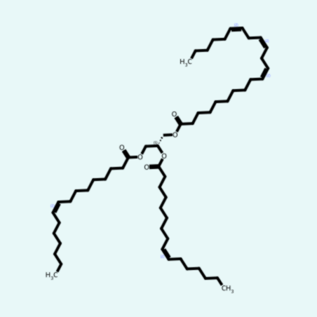 CCCCC/C=C\C/C=C\C/C=C\CCCCCCCCC(=O)OC[C@@H](COC(=O)CCCCCCC/C=C\CCCCCC)OC(=O)CCCCCCC/C=C\CCCCCC